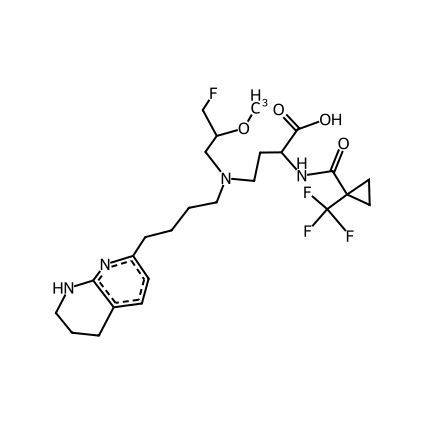 COC(CF)CN(CCCCc1ccc2c(n1)NCCC2)CCC(NC(=O)C1(C(F)(F)F)CC1)C(=O)O